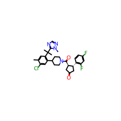 Cc1cc(C(C)(C)c2ncnn2C)c(C2CCN(C(=O)[C@@H]3CC(=O)C[C@H]3c3ccc(F)cc3F)CC2)cc1Cl